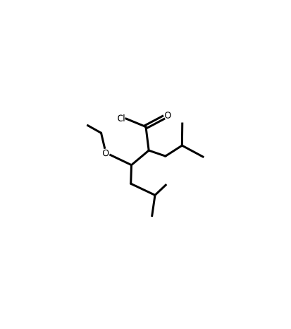 CCOC(CC(C)C)C(CC(C)C)C(=O)Cl